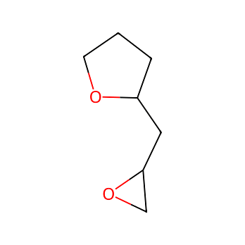 C1COC(CC2CO2)C1